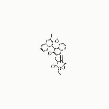 CCOC(=O)C(Cc1cc2ccccc2c(-c2c(OC)c(I)cc3ccccc23)c1OC)NC(C)=O